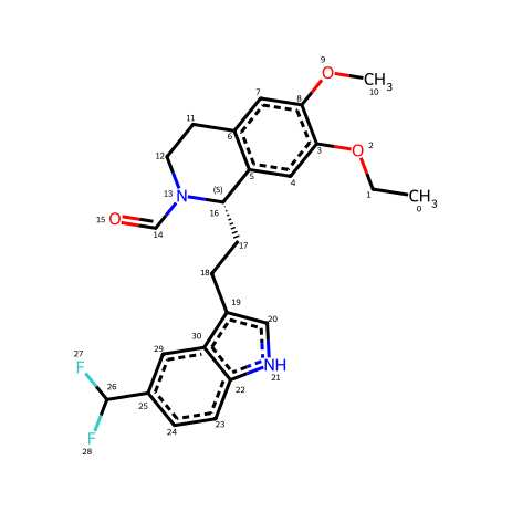 CCOc1cc2c(cc1OC)CCN(C=O)[C@H]2CCc1c[nH]c2ccc(C(F)F)cc12